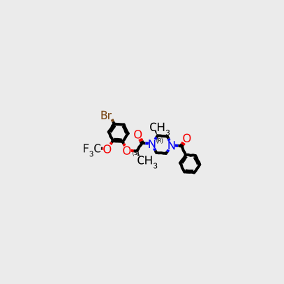 C[C@H](Oc1ccc(Br)cc1OC(F)(F)F)C(=O)N1CCN(C(=O)c2ccccc2)C[C@H]1C